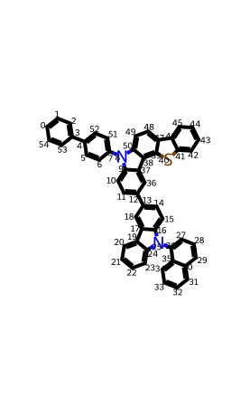 c1ccc(-c2ccc(-n3c4ccc(-c5ccc6c(c5)c5ccccc5n6-c5cccc6ccccc56)cc4c4c5sc6ccccc6c5ccc43)cc2)cc1